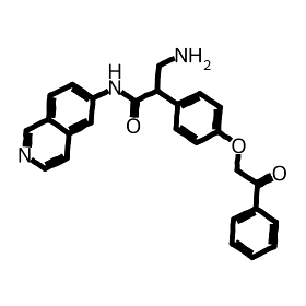 NCC(C(=O)Nc1ccc2cnccc2c1)c1ccc(OCC(=O)c2ccccc2)cc1